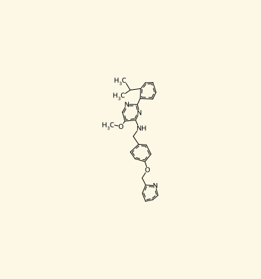 COc1cnc(-c2ccccc2C(C)C)nc1NCc1ccc(OCc2ccccn2)cc1